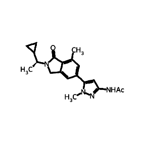 CC(=O)Nc1cc(-c2cc(C)c3c(c2)CN([C@@H](C)C2CC2)C3=O)n(C)n1